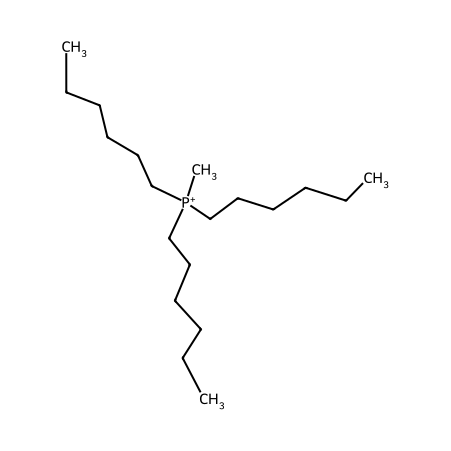 CCCCCC[P+](C)(CCCCCC)CCCCCC